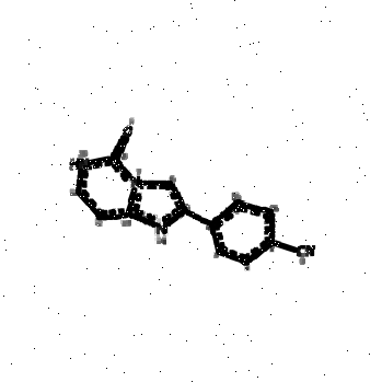 N#Cc1ccc(-c2cn3c(=O)[nH]ccc3n2)cc1